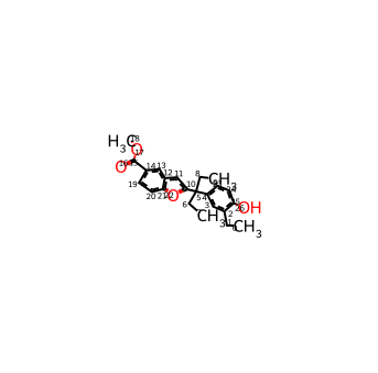 CCc1cc(C(CC)(CC)c2cc3cc(C(=O)OC)ccc3o2)ccc1O